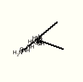 CCCCCCCCCCCCCCCCCC(=O)NC(CCNCCCCNCCCNC(=O)CN)N(NC(=O)CCCCCCCCCCCCCCCCC)C(=O)O